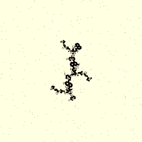 CN(CC1CN(C(=O)/C=C/[C@H]2CCN2C)C1)c1nc(OC[C@@]23CCC(c4cc(F)c(Cl)c5c(-c6ncc7c(N(C)CC8CN(C(=O)/C=C/[C@@H]9CCN9C)C8)nc(OC[C@@]89CCC(c%10cc(F)c(Cl)c%11c(-c%12ncc%13c(N(C)CC%14CN(C(=O)/C=C/[C@H]%15CCN%15C)C%14)nc(OC[C@@]%14%15CCCN%14C[C@H](F)C%15)nc%13c%12F)cccc%10%11)N8C[C@H](F)C9)nc7c6F)cccc45)N2C[C@H](F)C3)nc2c(F)c(-c3cccc4cccc(Cl)c34)ncc12